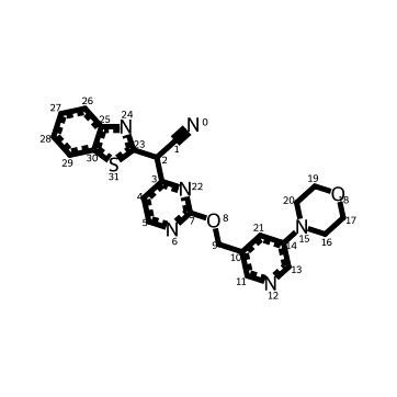 N#CC(c1ccnc(OCc2cncc(N3CCOCC3)c2)n1)c1nc2ccccc2s1